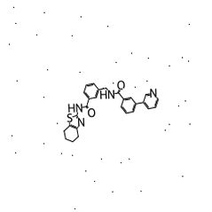 O=C(NCc1cccc(C(=O)Nc2nc3c(s2)CCCC3)c1)c1cccc(-c2cccnc2)c1